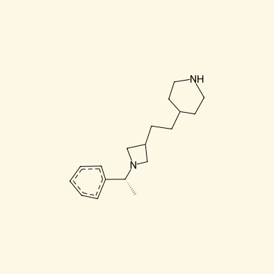 C[C@H](c1ccccc1)N1CC(CCC2CCNCC2)C1